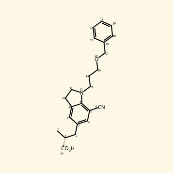 C[C@H](Cc1cc(C#N)c2c(c1)CCN2CCCOCc1ccccc1)C(=O)O